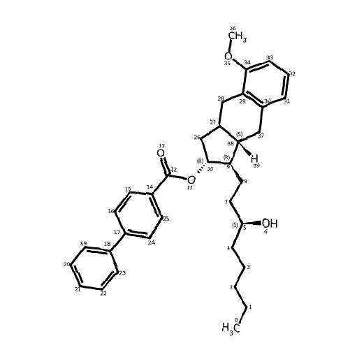 CCCCC[C@H](O)CC[C@H]1[C@H](OC(=O)c2ccc(-c3ccccc3)cc2)CC2Cc3c(cccc3OC)C[C@@H]21